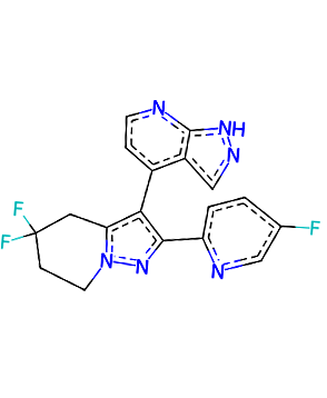 Fc1ccc(-c2nn3c(c2-c2ccnc4[nH]ncc24)CC(F)(F)CC3)nc1